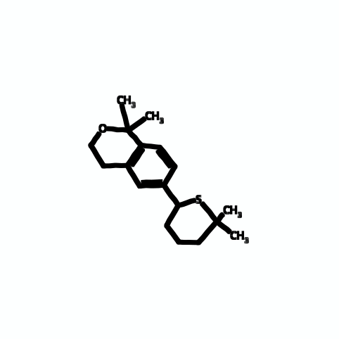 CC1(C)CCCC(c2ccc3c(c2)CCOC3(C)C)S1